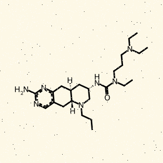 CCCN1C[C@@H](NC(=O)N(CC)CCCN(CC)CC)C[C@@H]2Cc3nc(N)ncc3C[C@H]21